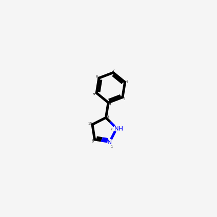 [C]1=NNC(c2ccccc2)C1